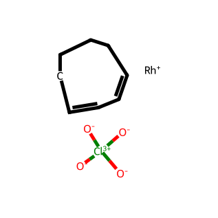 C1=CCCCCC=C1.[O-][Cl+3]([O-])([O-])[O-].[Rh+]